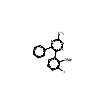 COc1c(Cl)cccc1-c1nnc(N)nc1-c1ccccc1